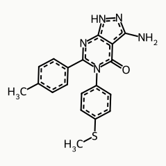 CSc1ccc(-n2c(-c3ccc(C)cc3)nc3[nH]nc(N)c3c2=O)cc1